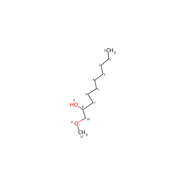 CCCCCCCCC(O)COC